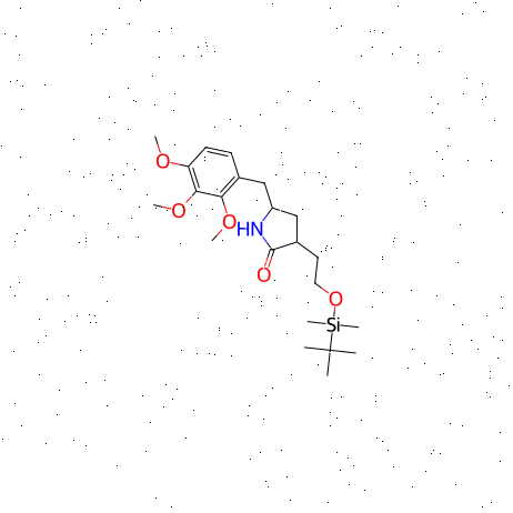 COc1ccc(CC2CC(CCO[Si](C)(C)C(C)(C)C)C(=O)N2)c(OC)c1OC